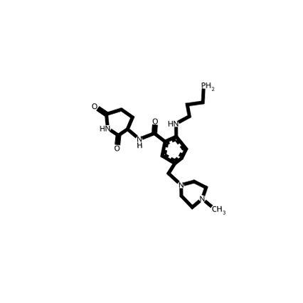 CN1CCN(Cc2ccc(NCCCP)c(C(=O)NC3CCC(=O)NC3=O)c2)CC1